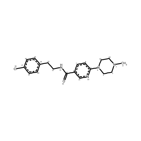 CN1CCN(c2ccc(C(=O)NCCc3ccc(Cl)cc3)cn2)CC1